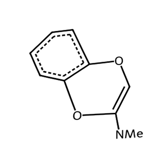 CNC1=COc2ccccc2O1